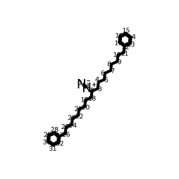 [N-]=[N+]=C(CCCCCCCCCc1ccccc1)CCCCCCCCCc1ccccc1